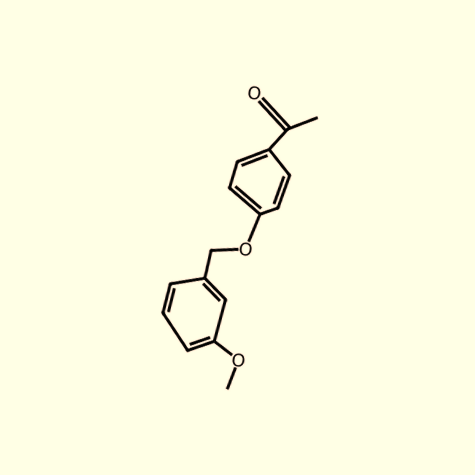 COc1cccc(COc2ccc(C(C)=O)cc2)c1